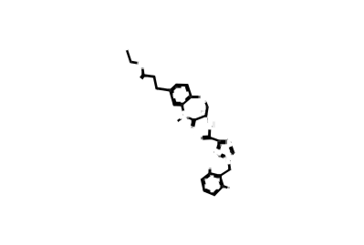 CCOC(=O)CCc1ccc2c(c1)N(C)C(=O)[C@H](NC(=O)c1ncn(Cc3c(Cl)cccc3Cl)n1)CO2